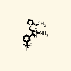 CC[C@@H]1CCCN1Cc1sc(N)nc1-c1cccc(C(F)(F)F)c1